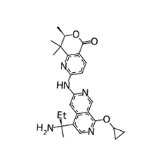 CC[C@@](C)(N)c1cnc(OC2CC2)c2cnc(Nc3ccc4c(n3)C(C)(C)[C@@H](C)OC4=O)cc12